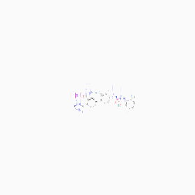 Cc1cnc(-c2ccc(-c3ccc(NC(=O)Nc4c(F)cccc4F)cc3F)c3c2C(O)NC3)[nH]1